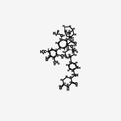 COc1cc(-c2cn(C)c(=O)c(C)c2C)cc(OC)c1CN1C2CCC1CN(C(=O)CC1CCN(c3ccc(NC4CCC(=O)NC4=O)nc3)CC1)C2